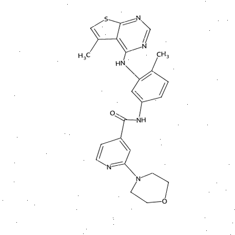 Cc1ccc(NC(=O)c2ccnc(N3CCOCC3)c2)cc1Nc1ncnc2scc(C)c12